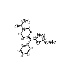 BC(=O)N1CCC(=C(c2ccccc2)c2nnc(OC)o2)CC1